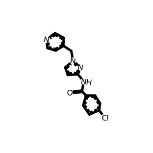 O=C(Nc1ccn(Cc2ccncc2)n1)c1ccc(Cl)cc1